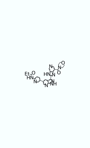 CCC(=O)Nc1ccc(-c2cnc3[nH]nc(-c4nc5c(C(=O)N6CCOCC6)cncc5[nH]4)c3c2)cn1